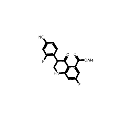 COC(=O)c1cc(F)cc2c1C(=O)C(c1ccc(C#N)cc1F)CN2